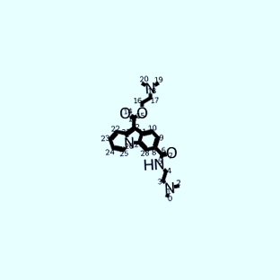 CN(C)CCNC(=O)c1ccc2c(C(=O)OCCN(C)C)c3ccccn3c2c1